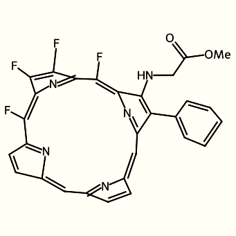 COC(=O)CNC1=C(c2ccccc2)C2=NC1=C(F)C1=NC(=C(F)C3=NC(=CC4=NC(=C2)C=C4)C=C3)C(F)=C1F